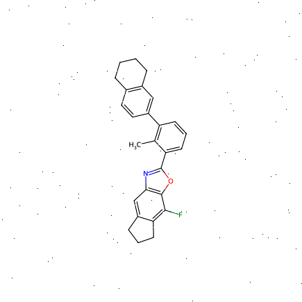 Cc1c(-c2ccc3c(c2)CCCC3)cccc1-c1nc2cc3c(c(F)c2o1)CCC3